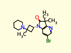 CC1(C)C(=O)N([C@H]2C[C@@](C)(N3CCCCC3)C2)c2cc(Br)cnc21